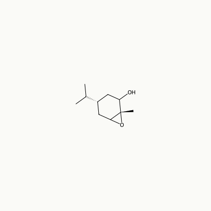 CC(C)[C@@H]1CC(O)[C@]2(C)OC2C1